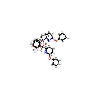 [SiH3]CC(OC(C[SiH3])(c1ccccc1)c1cccc(Oc2ccccc2)n1)(c1ccccc1)c1cccc(Oc2ccccc2)n1